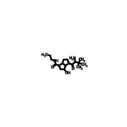 CCCNC(=O)N1CC(O)C2C1CCN2C(=O)C(N)C(C)(C)C